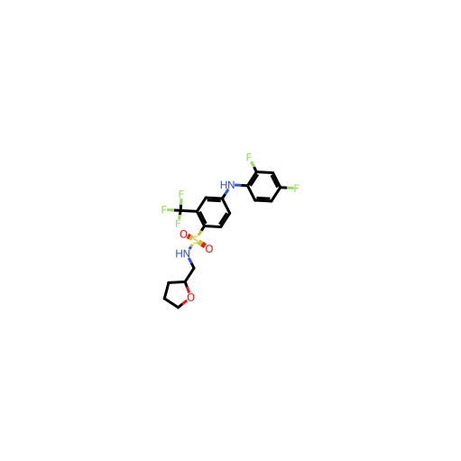 O=S(=O)(NCC1CCCO1)c1ccc(Nc2ccc(F)cc2F)cc1C(F)(F)F